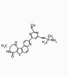 C#Cc1nc(C#CC(C)(C)N)cc(-c2ccc3c(ccc4sc5c(c43)NC[C@@H](C)NC5=O)n2)n1